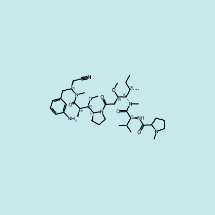 CC[C@H](C)[C@@H]([C@@H](CC(=O)N1CCC[C@H]1[C@H](OC)[C@@H](C)C(=O)N(C)[C@H](CC#N)Cc1cccc(N)c1)OC)N(C)C(=O)[C@@H](NC(=O)C1CCCN1C)C(C)C